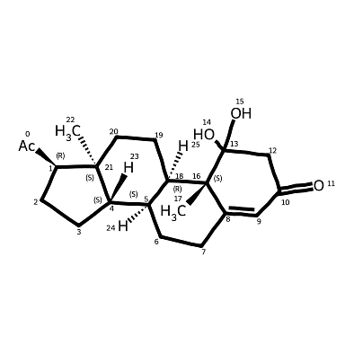 CC(=O)[C@@H]1CC[C@H]2[C@@H]3CCC4=CC(=O)CC(O)(O)[C@@]4(C)[C@@H]3CC[C@]12C